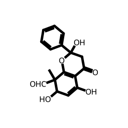 CC1(C=O)C2=C(C(=O)CC(O)(c3ccccc3)O2)C(O)=CC1O